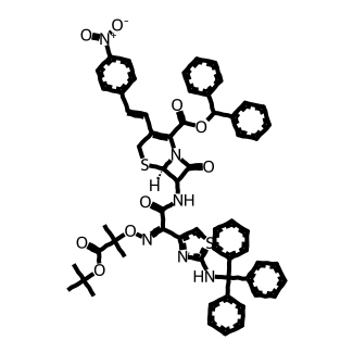 CC(C)(C)OC(=O)C(C)(C)O/N=C(\C(=O)NC1C(=O)N2C(C(=O)OC(c3ccccc3)c3ccccc3)=C(/C=C/c3ccc([N+](=O)[O-])cc3)CS[C@H]12)c1csc(NC(c2ccccc2)(c2ccccc2)c2ccccc2)n1